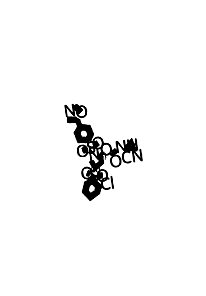 N#CC1(NC(=O)O[C@H]2C[C@@H](S(=O)(=O)c3ccccc3Cl)CN2S(=O)(=O)c2ccc(-c3cnco3)cc2)CC1